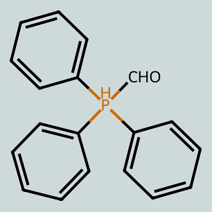 O=C[PH](c1ccccc1)(c1ccccc1)c1ccccc1